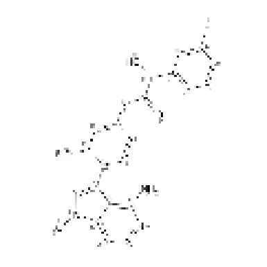 Cn1cc(-c2ccc(NC(=O)C(O)c3cccc(F)c3)cc2C(F)(F)F)c2c(N)ncnc21